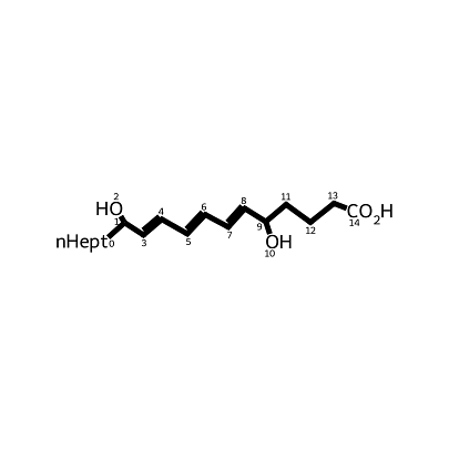 CCCCCCCC(O)C=CC=CC=CC(O)CCCC(=O)O